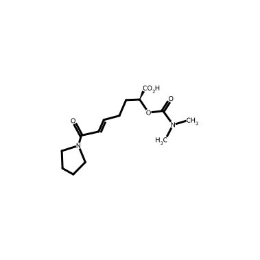 CN(C)C(=O)O[C@@H](CC/C=C/C(=O)N1CCCC1)C(=O)O